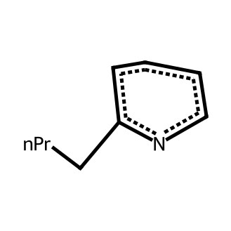 [CH]CCCc1ccccn1